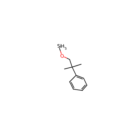 CC(C)(CO[SiH3])c1ccccc1